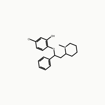 CN1CCCCC1CC(Oc1ccc(Cl)cc1O)c1ccccc1